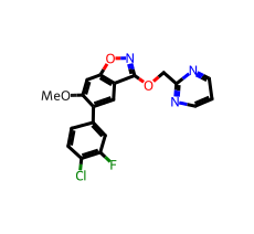 COc1cc2onc(OCc3ncccn3)c2cc1-c1ccc(Cl)c(F)c1